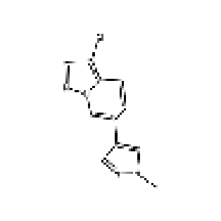 Cn1cc(-c2c[c]c3c(Cl)cnn3c2)cn1